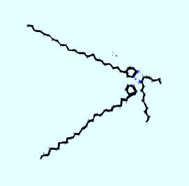 CCCCCCCCCCCCCCCCCCCCCCCc1ccc(N=C(CCCC)C(CCCCCCCC)=Nc2ccc(CCCCCCCCCCCCCCCCCCCCCCC)cc2)cc1.[Ni]